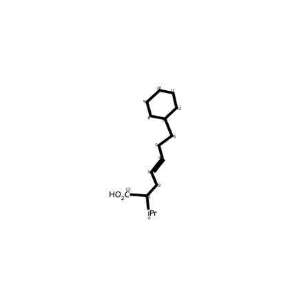 CC(C)C(CC=CCCC1CCCCC1)C(=O)O